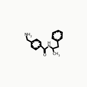 CC(Cc1ccccc1)NC(=O)c1ccc(CN)cc1